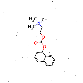 C[N+](C)(C)CCOC(=O)Oc1cccc2ccccc12